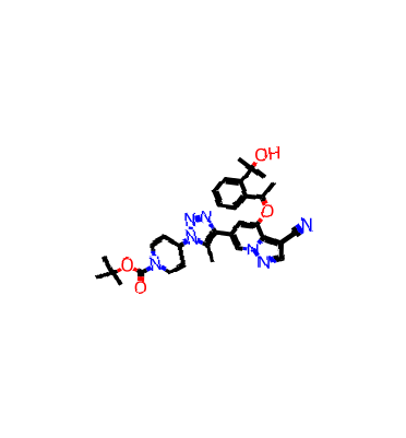 Cc1c(-c2cc(OC(C)c3ccccc3C(C)(C)O)c3c(C#N)cnn3c2)nnn1C1CCN(C(=O)OC(C)(C)C)CC1